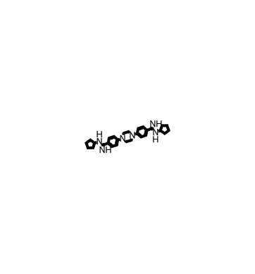 N=C(NC1CCCC1)c1ccc(N2CCN(c3ccc(C(=N)NC4CCCC4)cc3)CC2)cc1